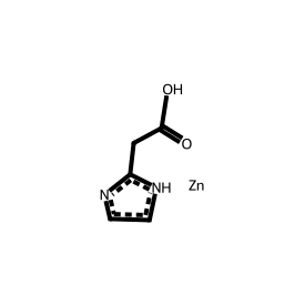 O=C(O)Cc1ncc[nH]1.[Zn]